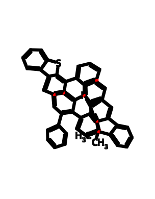 CC1(C)c2ccccc2-c2ccc(N(c3ccccc3-c3cccc4c3sc3ccccc34)c3cccc(-c4ccccc4)c3-c3ccccc3-c3ccccc3)cc21